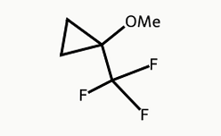 COC1(C(F)(F)F)CC1